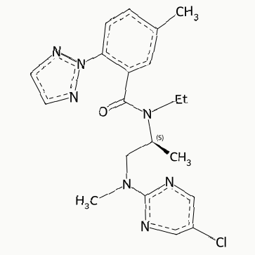 CCN(C(=O)c1cc(C)ccc1-n1nccn1)[C@@H](C)CN(C)c1ncc(Cl)cn1